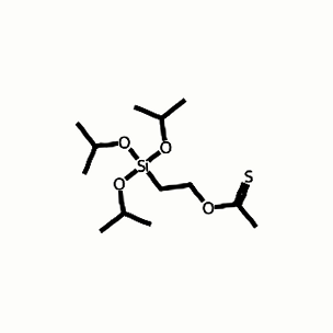 CC(=S)OCC[Si](OC(C)C)(OC(C)C)OC(C)C